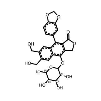 CC[C@H]1OC(Oc2c3c(c(-c4ccc5c(c4)OCO5)c4cc(CO)c(CO)cc24)C(=O)OC3)[C@H](O)[C@@H](O)[C@H]1O